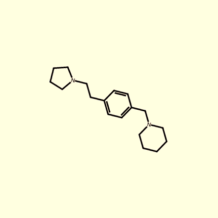 c1cc(CN2CCCCC2)ccc1CCN1CCCC1